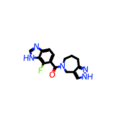 O=C(c1ccc2nc[nH]c2c1F)N1CCCc2n[nH]cc2C1